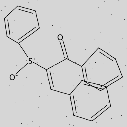 O=C(/C(=C\c1ccccc1)[S+]([O-])c1ccccc1)c1ccccc1